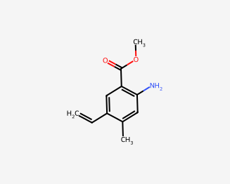 C=Cc1cc(C(=O)OC)c(N)cc1C